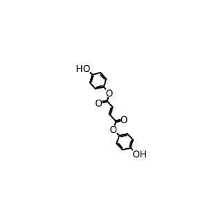 O=C(/C=C/C(=O)Oc1ccc(O)cc1)Oc1ccc(O)cc1